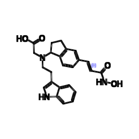 O=C(O)CN(CCc1c[nH]c2ccccc12)C1CCc2cc(/C=C/C(=O)NO)ccc21